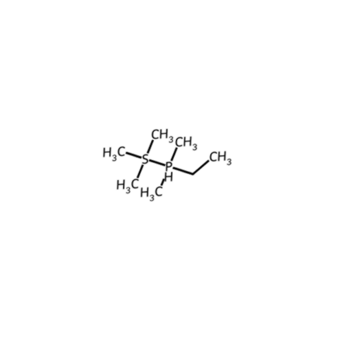 CC[PH](C)(C)S(C)(C)C